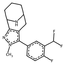 Cn1nc2c(c1-c1ccc(F)c(C(F)F)c1)CC1CCCC2N1